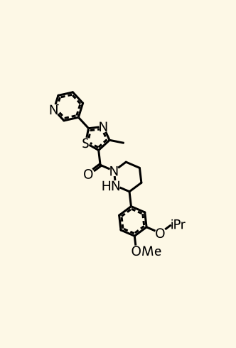 COc1ccc(C2CCCN(C(=O)c3sc(-c4cccnc4)nc3C)N2)cc1OC(C)C